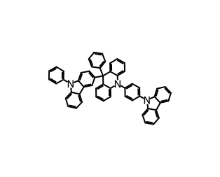 c1ccc(-n2c3ccccc3c3cc(C4(c5ccccc5)c5ccccc5N(c5ccc(-n6c7ccccc7c7ccccc76)cc5)c5ccccc54)ccc32)cc1